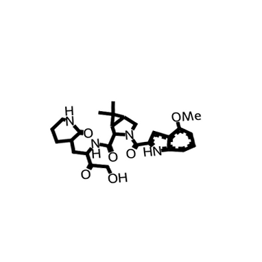 COc1cccc2[nH]c(C(=O)N3CC4C(C3C(=O)NC(CC3CCCNC3=O)C(=O)CO)C4(C)C)cc12